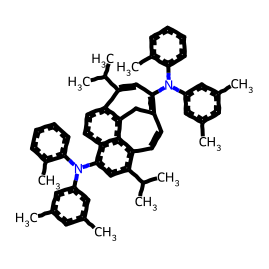 Cc1cc(C)cc(N(C2=C3C=Cc4c(C(C)C)cc(N(c5cc(C)cc(C)c5)c5ccccc5C)c5ccc(c(c45)C3)C(C(C)C)=C2)c2ccccc2C)c1